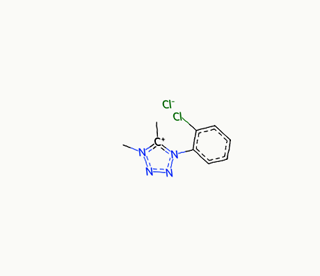 C[c+]1n(C)nnn1-c1ccccc1Cl.[Cl-]